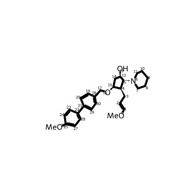 COC=CC[C@@H]1[C@@H](N2CCCCC2)[C@H](O)C[C@@H]1OCc1ccc(-c2ccc(OC)cc2)cc1